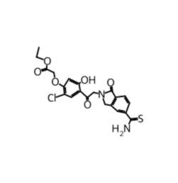 CCOC(=O)COc1cc(O)c(C(=O)CN2Cc3cc(C(N)=S)ccc3C2=O)cc1Cl